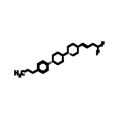 CCCc1ccc([C@H]2CC[C@H]([C@H]3CC[C@H](C=CCC(F)F)CC3)CC2)cc1